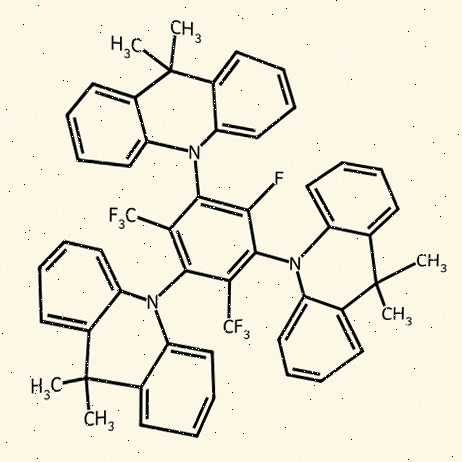 CC1(C)c2ccccc2N(c2c(F)c(N3c4ccccc4C(C)(C)c4ccccc43)c(C(F)(F)F)c(N3c4ccccc4C(C)(C)c4ccccc43)c2C(F)(F)F)c2ccccc21